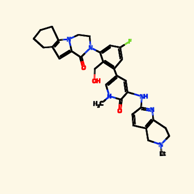 CCN1CCc2nc(Nc3cc(-c4cc(F)cc(N5CCn6c(cc7c6CCCC7)C5=O)c4CO)cn(C)c3=O)ccc2C1